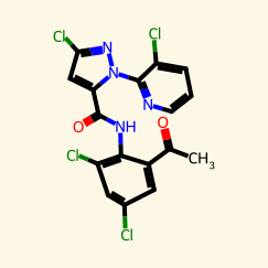 CC(=O)c1cc(Cl)cc(Cl)c1NC(=O)c1cc(Cl)nn1-c1ncccc1Cl